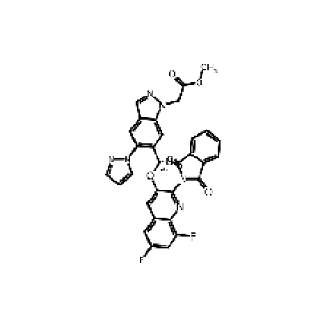 COC(=O)Cn1ncc2cc(-n3cccn3)c([C@H](C)Oc3cc4cc(F)cc(F)c4nc3N3C(=O)c4ccccc4C3=O)cc21